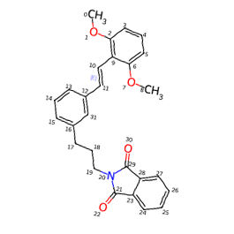 COc1cccc(OC)c1/C=C/c1cccc(CCCN2C(=O)c3ccccc3C2=O)c1